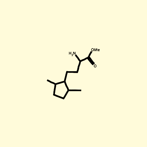 COC(=O)C(N)CCC1C(C)CCC1C